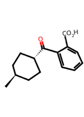 C[C@H]1CC[C@H](C(=O)c2ccccc2C(=O)O)CC1